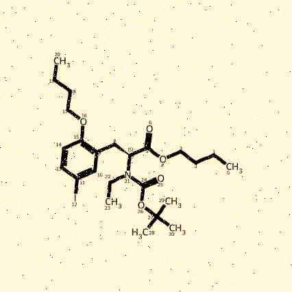 CCCCOC(=O)[C@H](Cc1cc(I)ccc1OCCCC)N(CC)C(=O)OC(C)(C)C